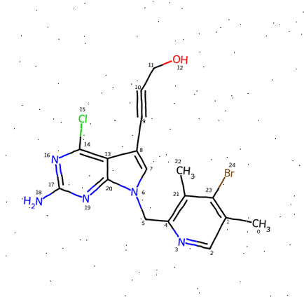 Cc1cnc(Cn2cc(C#CCO)c3c(Cl)nc(N)nc32)c(C)c1Br